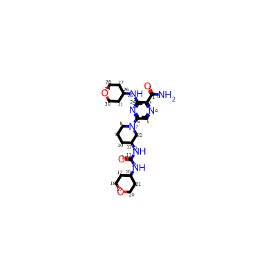 NC(=O)c1ncc(N2CCCC(NC(=O)NC3CCOCC3)C2)nc1NC1CCOCC1